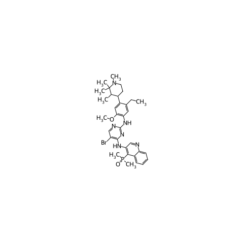 CCc1cc(Nc2ncc(Br)c(Nc3cnc4ccccc4c3P(C)(C)=O)n2)c(OC)cc1C1CCN(C)C(C)(C)C1C